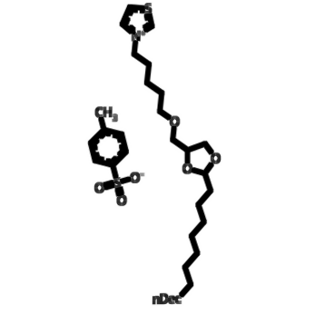 CCCCCCCCCCCCCCCCCC1OCC(COCCCCC[n+]2ccsc2)O1.Cc1ccc(S(=O)(=O)[O-])cc1